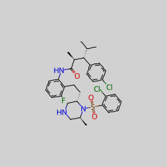 CC(C)[C@H](c1ccc(Cl)cc1)[C@H](C)C(=O)Nc1cccc(F)c1CC[C@H]1CNC[C@H](C)N1S(=O)(=O)c1ccccc1Cl